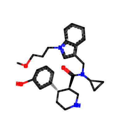 COCCCn1cc(CN(C(=O)[C@H]2CNCC[C@@H]2c2cccc(O)c2)C2CC2)c2ccccc21